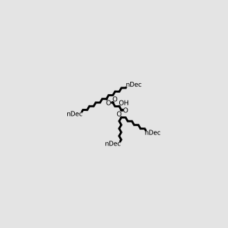 CCCCCCCCCCCCCCCCCC(CCCCCCCCCCCCCCCC)OC(=O)CC(O)C(=O)OC(CCCCCCCCCCCCCCCC)CCCCCCCCCCCCCCCCC